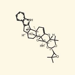 CC1(C)OC1[C@H]1O[C@H]2[C@H]3O[C@@]34C(=CC[C@@]3(C)[C@@]4(O)CC[C@H]4Cc5c([nH]c6ccccc56)[C@@]43C)O[C@@H]2C(C)(C)O1